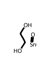 OCCO.[O]=[Sn]